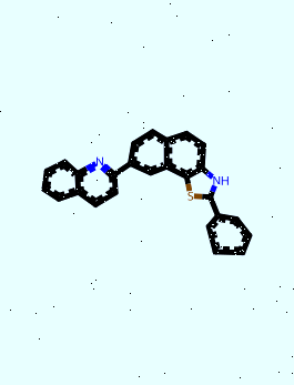 c1ccc(C2Nc3ccc4ccc(-c5ccc6ccccc6n5)cc4c3S2)cc1